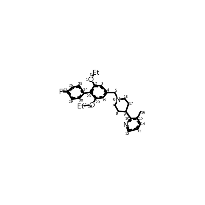 CCOc1cc(CN2CCC(c3ncccc3C)CC2)cc(OCC)c1-c1ccc(F)cc1